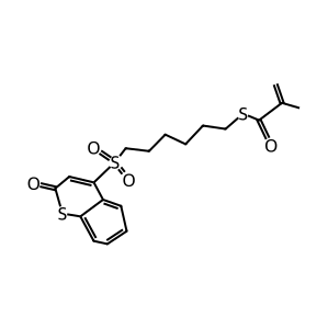 C=C(C)C(=O)SCCCCCCS(=O)(=O)c1cc(=O)sc2ccccc12